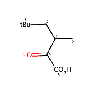 CC(CC(C)(C)C)C(=O)C(=O)O